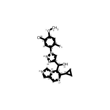 COc1cc(F)c(-n2cc(C(O)c3c(C4CC4)ncc4cncn34)nn2)cc1Cl